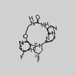 O=C1NCCOc2ncc(F)cc2[C@H]2C[C@H](F)CN2c2ccn3ncc(c3n2)N1